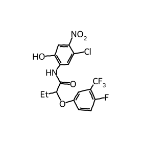 CCC(Oc1ccc(F)c(C(F)(F)F)c1)C(=O)Nc1cc(Cl)c([N+](=O)[O-])cc1O